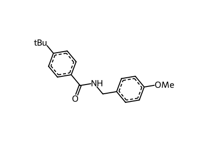 COc1ccc(CNC(=O)c2ccc(C(C)(C)C)cc2)cc1